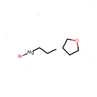 C1CCOC1.CC[CH2][Mg][Br]